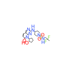 CC(F)(F)CNS(=O)(=O)N1CCC(Nc2ncc3ccc(=O)n([C@H]4CCC[C@@H]4O)c3n2)CC1